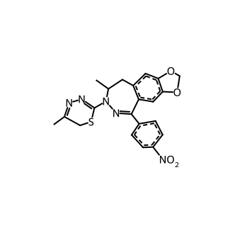 CC1=NN=C(N2N=C(c3ccc([N+](=O)[O-])cc3)c3cc4c(cc3CC2C)OCO4)SC1